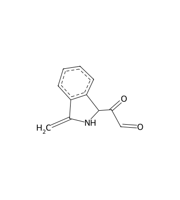 C=C1NC(C(=O)C=O)c2ccccc21